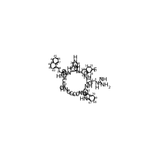 N=C(N)NCCC[C@@H]1NC(=O)C(Cc2ccc(F)cc2)NC(=O)[C@H](Cc2c[nH]cn2)NC(=O)[C@@H](NC(=O)CCc2cccc3ccccc23)CCC(=O)NCCCCNC(=O)[C@H](Cc2c[nH]c3ccccc23)NC1=O